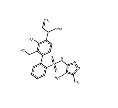 C=CC(CCCCCC)c1ccc(-c2ccccc2S(=O)(=O)Nc2noc(C)c2C)c(CC#N)c1C